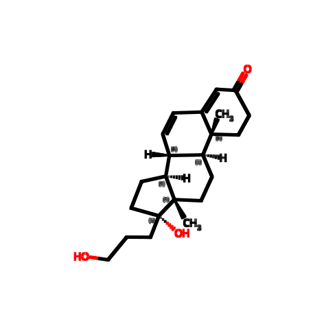 C[C@]12CCC(=O)C=C1C=C[C@@H]1[C@@H]2CC[C@@]2(C)[C@H]1CC[C@]2(O)CCCO